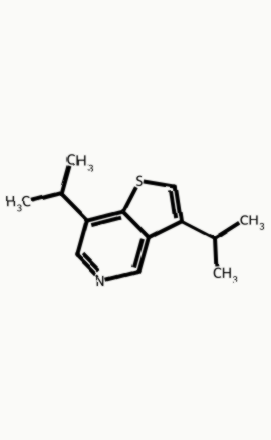 CC(C)c1csc2c(C(C)C)cncc12